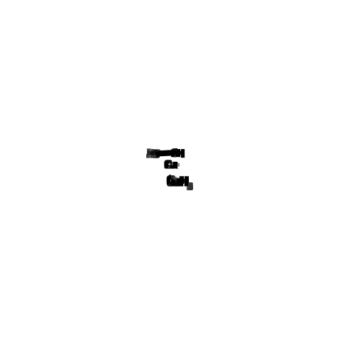 SS.[Cu].[GaH3]